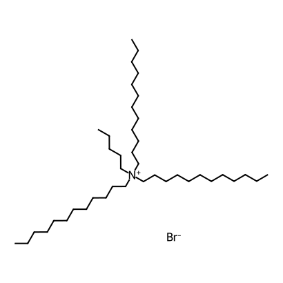 CCCCCCCCCCCC[N+](CCCCC)(CCCCCCCCCCCC)CCCCCCCCCCCC.[Br-]